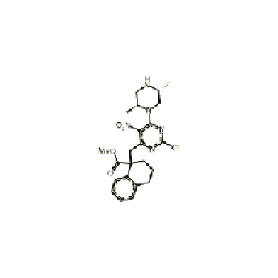 COC(=O)C1(Cc2nc(Cl)nc(N3C[C@@H](C)NC[C@@H]3C)c2[N+](=O)[O-])CCCc2ccccc21